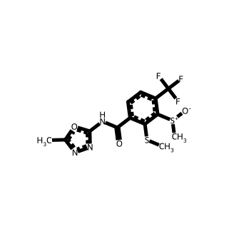 CSc1c(C(=O)Nc2nnc(C)o2)ccc(C(F)(F)F)c1[S+](C)[O-]